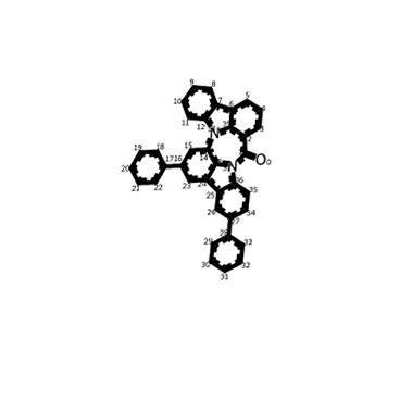 O=c1c2cccc3c4ccccc4n(c4cc(-c5ccccc5)cc5c6cc(-c7ccccc7)ccc6n1c54)c23